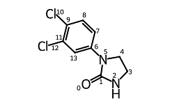 O=C1NCCN1c1ccc(Cl)c(Cl)c1